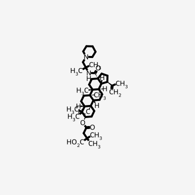 C=C(C)[C@@H]1CC[C@]2(C(=O)NC(C)(C)CN3CCCCC3)CC[C@]3(C)[C@H](CC[C@@H]4[C@@]5(C)CC[C@H](OC(=O)CC(C)(C)C(=O)O)C(C)(C)[C@@H]5CC[C@]43C)[C@@H]12